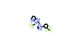 FC(F)(F)Cn1c(Cn2ccnc2-c2cccc(C(F)(F)F)c2)nc2cccnc21